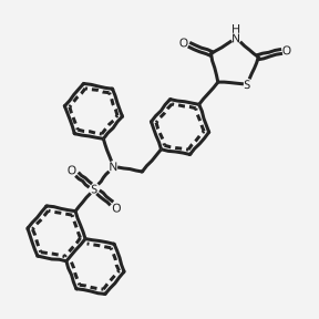 O=C1NC(=O)C(c2ccc(CN(c3ccccc3)S(=O)(=O)c3cccc4ccccc34)cc2)S1